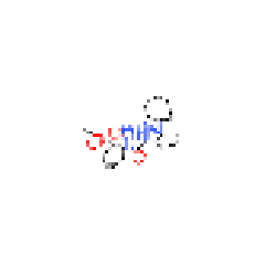 CCOC(=O)C1CC=CCC1NC(=O)c1nn(C2CCCCC2)c2c1CCCC2